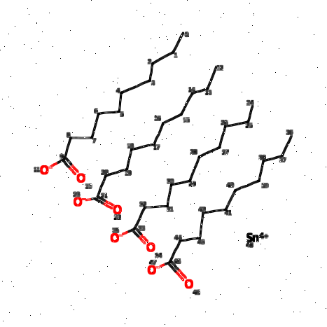 CCCCCCCCCC(=O)[O-].CCCCCCCCCC(=O)[O-].CCCCCCCCCC(=O)[O-].CCCCCCCCCC(=O)[O-].[Sn+4]